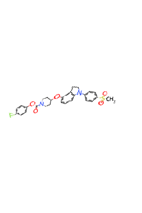 CS(=O)(=O)c1ccc(N2CCc3c(OC4CCN(C(=O)Oc5ccc(F)cc5)CC4)cccc32)cc1